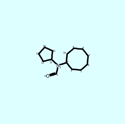 O=CN(C1CCCCCCC1)C1CCCC1